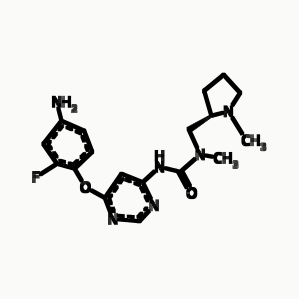 CN(C[C@H]1CCCN1C)C(=O)Nc1cc(Oc2ccc(N)cc2F)ncn1